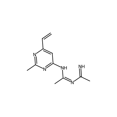 C=Cc1cc(N/C(C)=N\C(C)=N)nc(C)n1